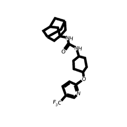 O=C(NC1CCC(Oc2ccc(C(F)(F)F)cn2)CC1)NC12CC3CC(CC(C3)C1)C2